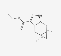 CCOC(=O)C1=NNC2C[C@@]3(C)C[C@H]3CC12